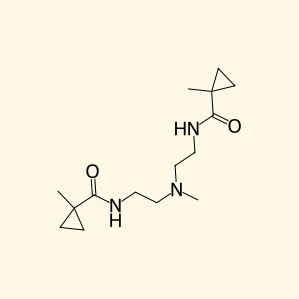 CN(CCNC(=O)C1(C)CC1)CCNC(=O)C1(C)CC1